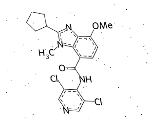 COc1ccc(C(=O)Nc2c(Cl)cncc2Cl)c2c1nc(C1CCCC1)n2C